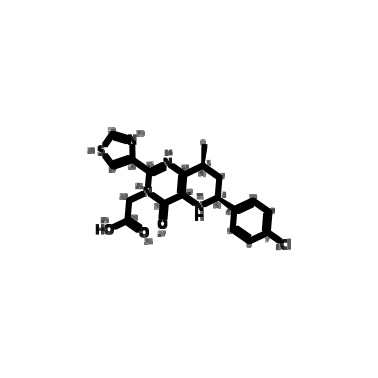 C[C@H]1C[C@@H](c2ccc(Cl)cc2)Nc2c1nc(-c1cscn1)n(CC(=O)O)c2=O